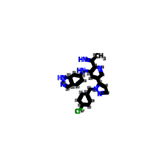 CC(=N)c1ncc(-c2ccnn2Cc2ccc(Cl)cc2)cc1Nc1ccc2cn[nH]c2c1